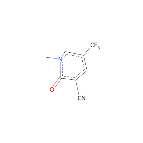 Cn1cc(C(F)(F)F)cc(C#N)c1=O